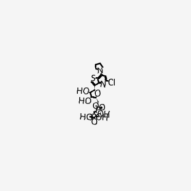 O=P(O)(O)CP(=O)(O)OC[C@H]1O[C@@H](c2csc3c(N4CCCC4)cc(Cl)nc23)[C@H](O)[C@@H]1O